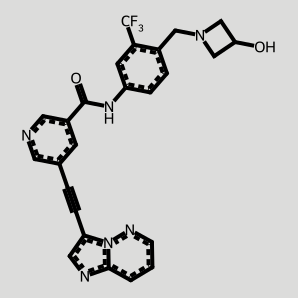 O=C(Nc1ccc(CN2CC(O)C2)c(C(F)(F)F)c1)c1cncc(C#Cc2cnc3cccnn23)c1